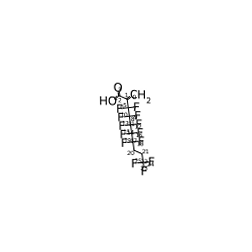 C=C(C(=O)O)C(F)(F)C(F)(F)C(F)(F)C(F)(F)C(F)(F)CCC(F)(F)F